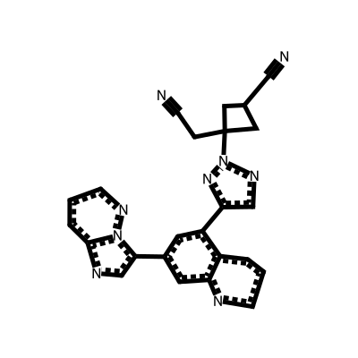 N#CCC1(n2ncc(-c3cc(-c4cnc5cccnn45)cc4ncccc34)n2)CC(C#N)C1